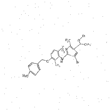 CCOC(C)c1cc(Br)c(Nc2c(C)ccc(OCc3ccc(OC)cc3)c2C)nc1C